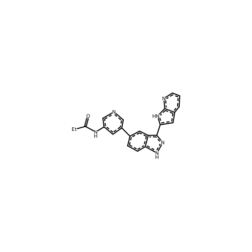 CCC(=O)Nc1cncc(-c2ccc3[nH]nc(-c4cc5cccnc5[nH]4)c3c2)c1